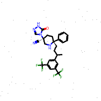 CC(CC[C@]1(c2ccccc2)CC[C@](C#N)(n2cn[nH]c2=O)CN1)c1cc(C(F)(F)F)cc(C(F)(F)F)c1